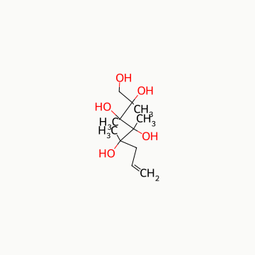 C=CCC(C)(O)C(C)(O)C(C)(O)C(C)(O)CO